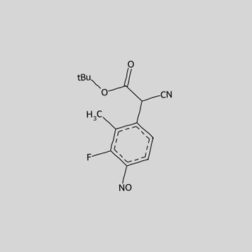 Cc1c(C(C#N)C(=O)OC(C)(C)C)ccc(N=O)c1F